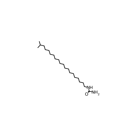 CC(C)CCCCCCCCCCCCCCCCCCNC(N)=O